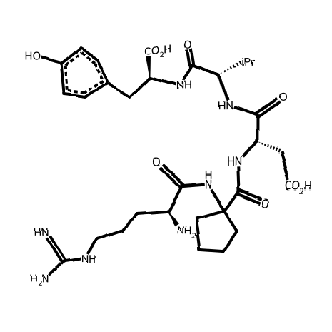 CC(C)[C@H](NC(=O)[C@H](CC(=O)O)NC(=O)C1(NC(=O)[C@@H](N)CCCNC(=N)N)CCCC1)C(=O)N[C@@H](Cc1ccc(O)cc1)C(=O)O